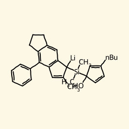 [Li][C]1([Si](C)(C)C2(O)C=CC(CCCC)=C2)C(C)=Cc2c1cc1c(c2-c2ccccc2)CCC1